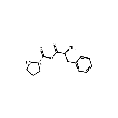 NC(Cc1ccccc1)C(=O)OC(=O)[C@@H]1CCCN1